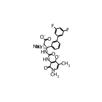 Cc1cn(C)c(=O)c(NC(=O)N[C@@H](CC(=O)[O-])c2cccc(-c3cc(F)cc(F)c3)c2)c1[O-].[Na+].[Na+]